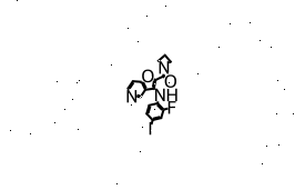 O=C(c1oc2ccncc2c1Nc1ccc(I)cc1F)N1CCC1